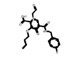 CCCCOc1c(C(=O)O)n(CC=O)cc(C(=O)NCc2ccc(F)cc2)c1=O